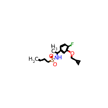 C=CCCS(=O)(=O)NC(C)c1ccc(F)c(OCC2CC2)c1